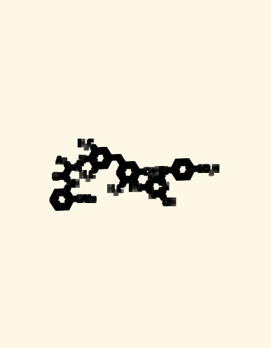 COc1ccccc1NC(=O)C(N=Nc1c(C)cc(Cc2cc(C)c(Nc3nc(O)nc(Nc4ccc(S(=O)(=O)O)cc4)n3)c(C)c2)cc1C)C(C)=O